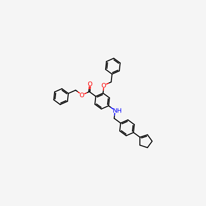 O=C(OCc1ccccc1)c1ccc(NCc2ccc(C3=CCCC3)cc2)cc1OCc1ccccc1